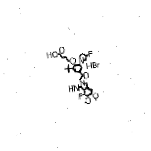 Br.COc1cc2c(c(F)c1OC)C(=N)N(CC(=O)c1cc(N3CCC(F)C3)c(OCCCC(=O)O)c(C(C)(C)C)c1)C2